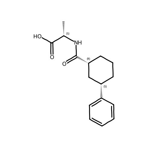 C[C@H](NC(=O)[C@@H]1CCC[C@H](c2ccccc2)C1)C(=O)O